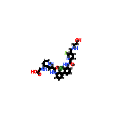 O=C(O)CNC1CCCn2nc(C(=O)Nc3cccc(-c4cccc(NC(=O)c5ccc(CNCCO)c(F)n5)c4Cl)c3Cl)cc21